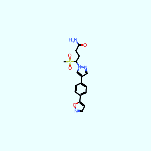 CS(=O)(=O)C(CCC(N)=O)n1cc(-c2ccc(-c3ccno3)cc2)cn1